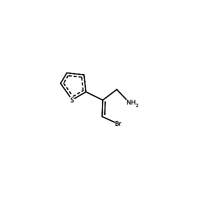 NC/C(=C\Br)c1cccs1